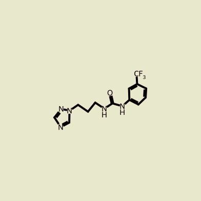 O=C(NCCCn1cncn1)Nc1cccc(C(F)(F)F)c1